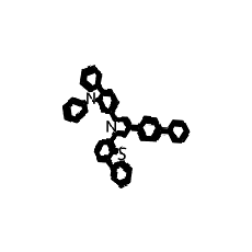 c1ccc(-c2ccc(-c3cc(-c4ccc5c6ccccc6n(-c6ccccc6)c5c4)nc(-c4cccc5c4sc4ccccc45)c3)cc2)cc1